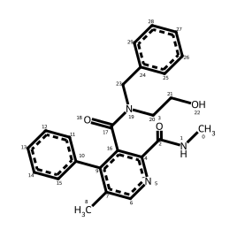 CNC(=O)c1ncc(C)c(-c2ccccc2)c1C(=O)N(CCO)Cc1ccccc1